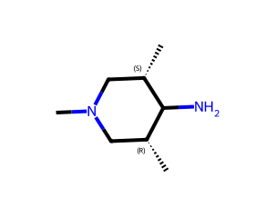 C[C@@H]1CN(C)C[C@H](C)C1N